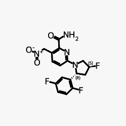 NC(=O)c1nc(N2C[C@@H](F)C[C@@H]2c2cc(F)ccc2F)ccc1C[N+](=O)[O-]